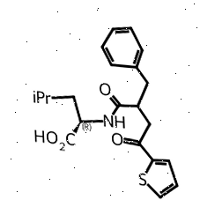 CC(C)C[C@@H](NC(=O)C(CC(=O)c1cccs1)Cc1ccccc1)C(=O)O